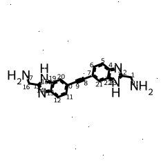 NCc1nc2ccc(C#Cc3ccc4nc(CN)[nH]c4c3)cc2[nH]1